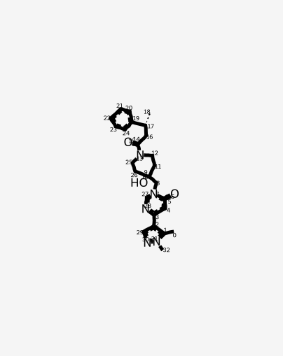 Cc1c(-c2cc(=O)n(CC3(O)CCN(C(=O)C[C@@H](C)c4ccccc4)CC3)cn2)cnn1C